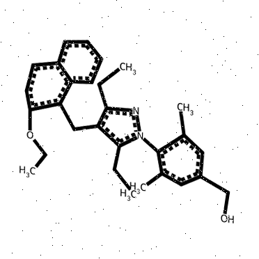 CCOc1ccc2ccccc2c1Cc1c(CC)nn(-c2c(C)cc(CO)cc2C)c1CC